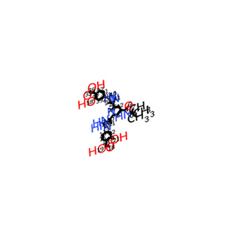 CC(C)(C)NC(=O)c1cc(C2=CN(c3ccc(C(=O)O)c(O)c3)NN2)nc(-c2cn(-c3ccc(C(=O)O)c(O)c3)nn2)c1